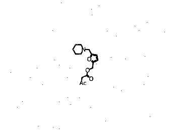 CC(=O)CC(=O)OCc1ccc(CN2CCCCC2)o1